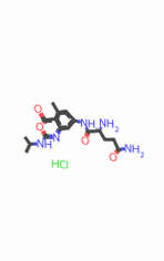 Cc1cc(NC(=O)[C@@H](N)CCC(N)=O)cc2nc(NC(C)C)oc(=O)c12.Cl